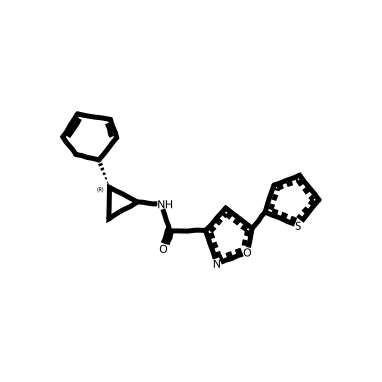 O=C(NC1C[C@@H]1C1C=CC=CC1)c1cc(-c2cccs2)on1